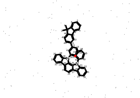 CC1(C)c2ccccc2-c2cc(-c3cccc(-n4c5ccccc5c5ccc6c7ccccc7n(-c7ccccc7)c6c54)c3)ccc21